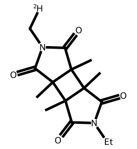 [2H]CN1C(=O)C2(C)C(C)(C1=O)C1(C)C(=O)N(CC)C(=O)C21C